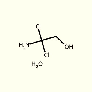 NC(Cl)(Cl)CO.O